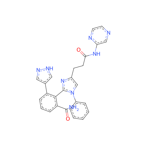 NC(=O)c1cccc(-c2cn[nH]c2)c1-c1nc(CCC(=O)Nc2cnccn2)cn1-c1ccccc1